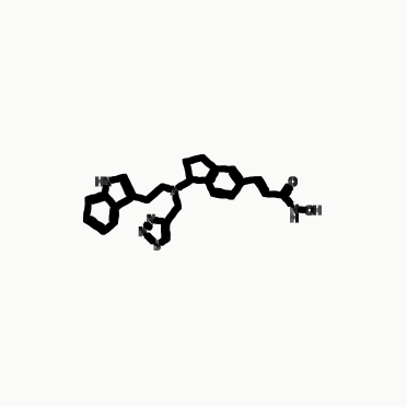 O=C(C=Cc1ccc2c(c1)CCC2N(CCc1c[nH]c2ccccc12)Cc1csnn1)NO